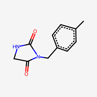 Cc1ccc(CN2C(=O)CNC2=O)cc1